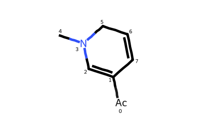 CC(=O)C1=CN(C)CC=C1